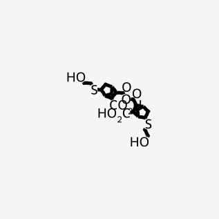 O=C(OC(=O)C1C2CC(SCCO)C(C2)C1C(=O)O)C1C2CC(SCCO)C(C2)C1C(=O)O